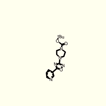 CC(C)(C)OC(=O)N1CCN(c2noc(-c3cccnc3)n2)CC1